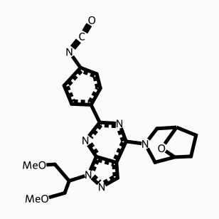 COCC(COC)n1ncc2c(N3CC4CCC(C3)O4)nc(-c3ccc(N=C=O)cc3)nc21